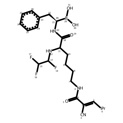 CC(C)C=C(C#N)C(=O)NCCCCC(NC(F)C(F)F)C(=O)N[C@@H](Cc1ccccc1)B(O)O